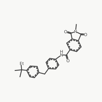 CCC(C)(C)c1ccc(Cc2ccc(NC(=O)c3ccc4c(c3)C(=O)N(C)C4=O)cc2)cc1